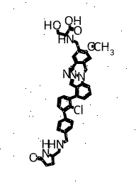 COc1cc(Cn2ncc3c(-c4cccc(-c5ccc(CNCC6CCC(=O)N6)cc5)c4Cl)cccc32)c(C#N)cc1CNC(CO)C(=O)O